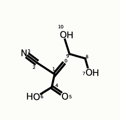 C=C(C#N)C(=O)O.OCCO